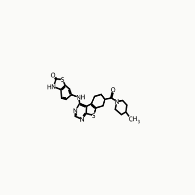 CC1CCN(C(=O)C2CCc3c(sc4ncnc(Nc5ccc6[nH]c(=O)sc6c5)c34)C2)CC1